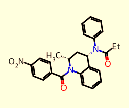 CCC(=O)N(c1ccccc1)[C@H]1C[C@@H](C)N(C(=O)c2ccc([N+](=O)[O-])cc2)c2ccccc21